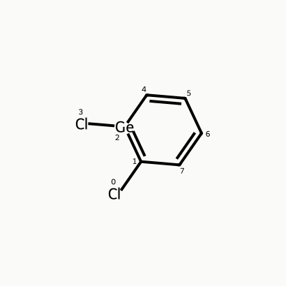 Cl[C]1=[Ge]([Cl])[CH]=CC=C1